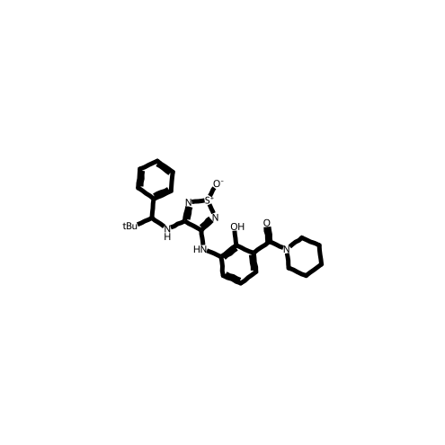 CC(C)(C)C(Nc1n[s+]([O-])nc1Nc1cccc(C(=O)N2CCCCC2)c1O)c1ccccc1